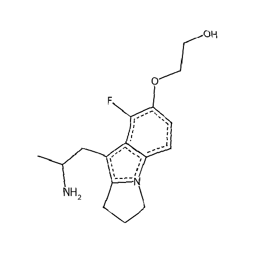 CC(N)Cc1c2n(c3ccc(OCCO)c(F)c13)CCC2